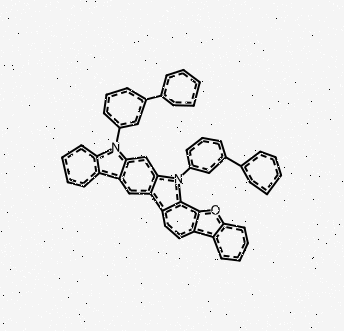 c1ccc(-c2cccc(-n3c4ccccc4c4cc5c6ccc7c8ccccc8oc7c6n(-c6cccc(-c7ccccc7)c6)c5cc43)c2)cc1